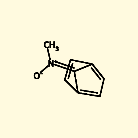 C[N+]([O-])=C1C2=CC=C1C=C2